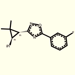 CC(C)[C@@H]1[C@@H](c2noc(-c3cccc(F)c3)n2)C1(C)C